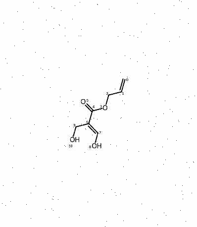 C=CCOC(=O)C(=CO)CO